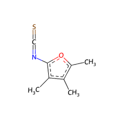 Cc1oc(N=C=S)c(C)c1C